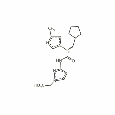 O=C(O)Cn1ccc(NC(=O)[C@H](CC2CCCC2)n2cnc(C(F)(F)F)c2)n1